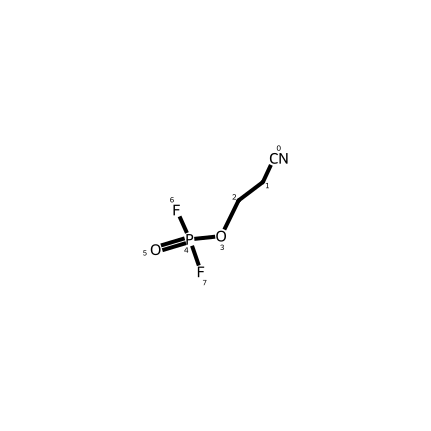 N#CCCOP(=O)(F)F